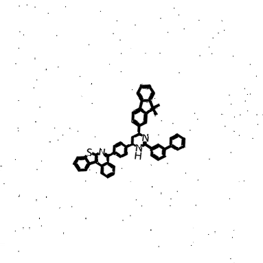 CC1(C)c2ccccc2-c2ccc(C3CC(c4ccc(-c5nc6sc7ccccc7c6c6ccccc56)cc4)NC(c4cccc(-c5ccccc5)c4)=N3)cc21